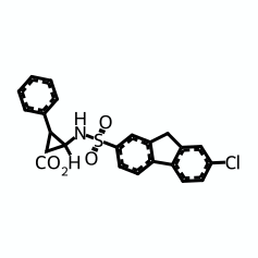 O=C(O)C1(NS(=O)(=O)c2ccc3c(c2)Cc2cc(Cl)ccc2-3)CC1c1ccccc1